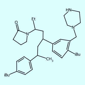 CCC(C)c1ccc(C(C)CC(CC(CC)N2CCCC2=O)c2ccc(C(C)CC)c(CN3CCNCC3)c2)cc1